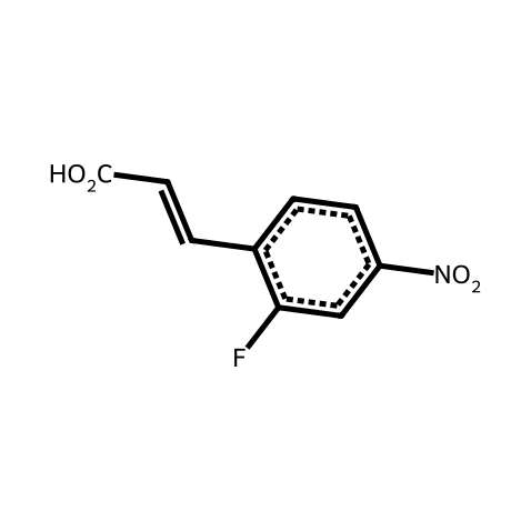 O=C(O)/C=C/c1ccc([N+](=O)[O-])cc1F